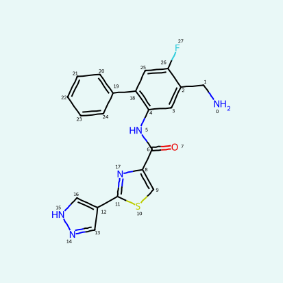 NCc1cc(NC(=O)c2csc(-c3cn[nH]c3)n2)c(-c2ccccc2)cc1F